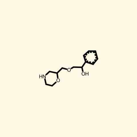 OC(COCC1CNCCO1)c1ccccc1